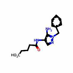 Nc1c(NC(=O)CCCC(=O)O)cnn1Cc1ccccc1